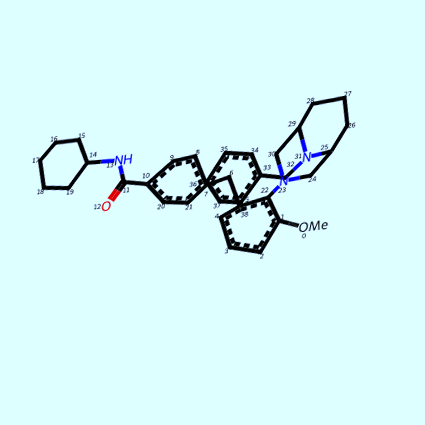 COc1cccc(Cc2ccc(C(=O)NC3CCCCC3)cc2)c1N1CC2CCCC(C1)N2Cc1ccccc1